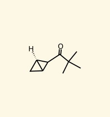 CC(C)(C)C(=O)C1C2C[C@H]21